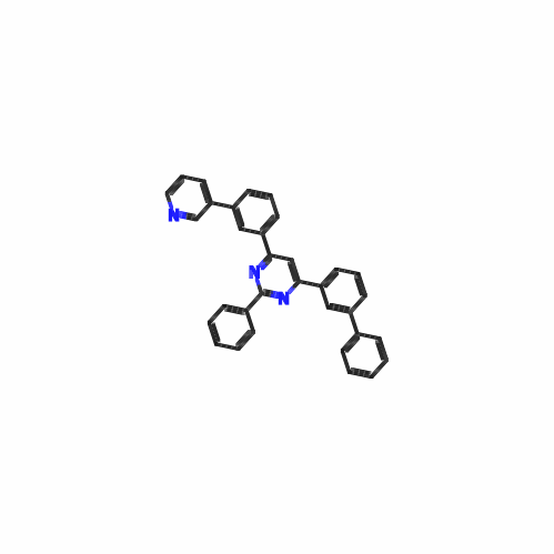 c1ccc(-c2cccc(-c3cc(-c4cccc(-c5cccnc5)c4)nc(-c4ccccc4)n3)c2)cc1